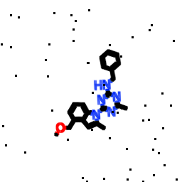 COCc1cccc2c1cc(C)n2-c1nc(C)nc(NCc2ccccc2)n1